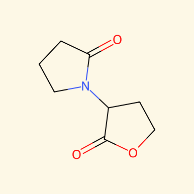 O=C1OCCC1N1CCCC1=O